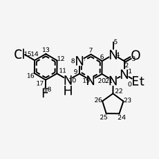 CCN1C(=O)N(C)c2cnc(Nc3ccc(Cl)cc3F)nc2N1C1CCCC1